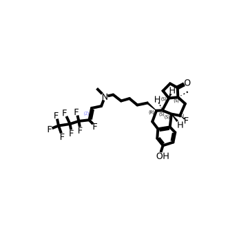 CN(C/C=C(\F)C(F)(F)C(F)(F)C(F)(F)F)CCCCC[C@@H]1Cc2cc(O)ccc2[C@@H]2[C@@H]1[C@@H]1CCC(=O)[C@@]1(C)C[C@@H]2F